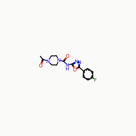 CC(=O)N1CCN(C(=O)Nc2nnc(-c3ccc(F)cc3)o2)CC1